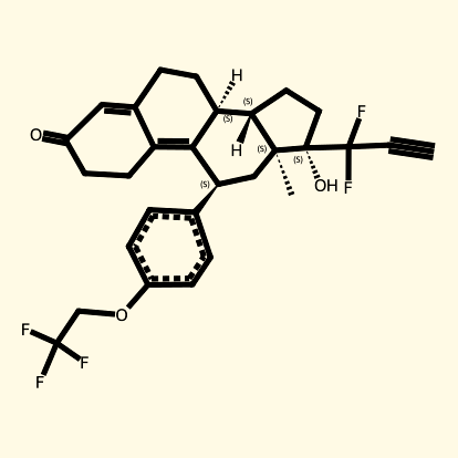 C#CC(F)(F)[C@]1(O)CC[C@H]2[C@@H]3CCC4=CC(=O)CCC4=C3[C@H](c3ccc(OCC(F)(F)F)cc3)C[C@@]21C